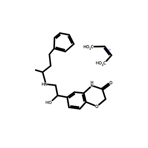 CC(CCc1ccccc1)NCC(O)c1ccc2c(c1)NC(=O)CO2.O=C(O)/C=C\C(=O)O